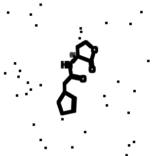 O=C(CC1C=CCC1)N[C@H]1CCOC1=O